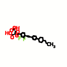 CCCC1CCC(c2ccc(C#Cc3ccc(C4O[C@@H](C(=O)O)[C@H](C(=O)O)O4)c(F)c3F)cc2)CC1